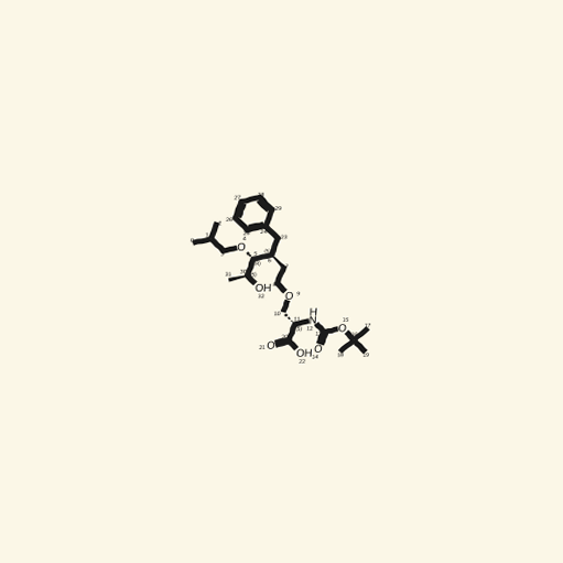 CC(C)CO[C@H]([C@H](CCOC[C@H](NC(=O)OC(C)(C)C)C(=O)O)Cc1ccccc1)[C@H](C)O